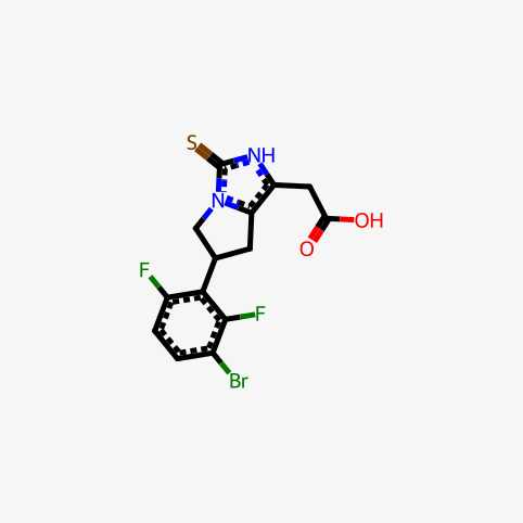 O=C(O)Cc1[nH]c(=S)n2c1CC(c1c(F)ccc(Br)c1F)C2